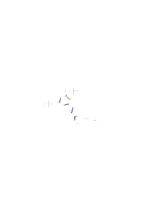 CCCCC(Cl)OC(=O)/C=C/c1cc(O)c(O)c(O)c1